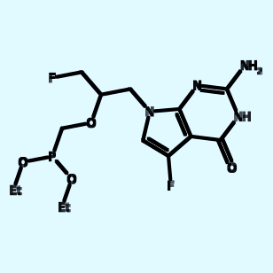 CCOP(COC(CF)Cn1cc(F)c2c(=O)[nH]c(N)nc21)OCC